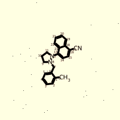 Cc1ccccc1CN1CCCN1c1ccc(C#N)c2ccccc12